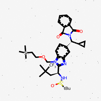 CC(C)(C)[S+]([O-])N[C@@H](CC(C)(C)C(F)(F)F)c1nc2cc([C@@H](C3CC3)N3C(=O)c4ccccc4C3=O)ccc2n1COCC[Si](C)(C)C